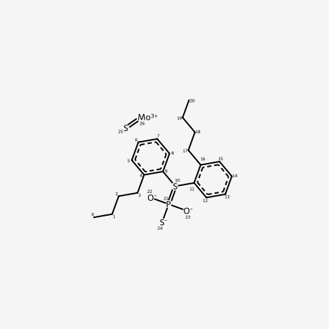 CCCCc1ccccc1S(c1ccccc1CCCC)=P([O-])([O-])[S-].[S]=[Mo+3]